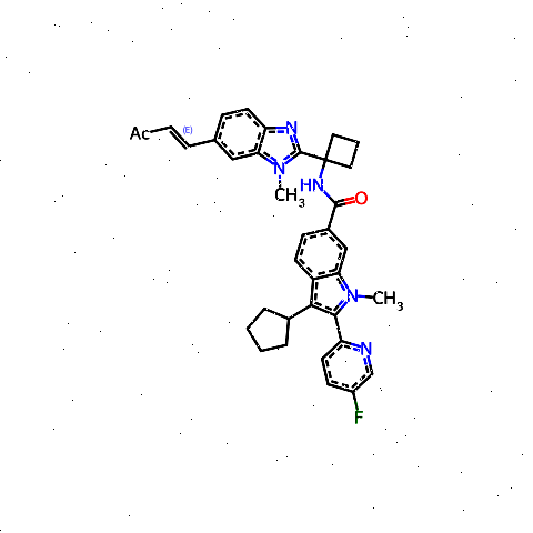 CC(=O)/C=C/c1ccc2nc(C3(NC(=O)c4ccc5c(C6CCCC6)c(-c6ccc(F)cn6)n(C)c5c4)CCC3)n(C)c2c1